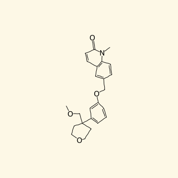 COCC1(c2cccc(OCc3ccc4c(ccc(=O)n4C)c3)c2)CCOCC1